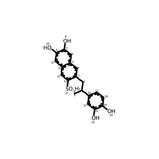 CC(Cc1cc2cc(O)c(O)cc2cc1S(=O)(=O)O)c1ccc(O)c(O)c1